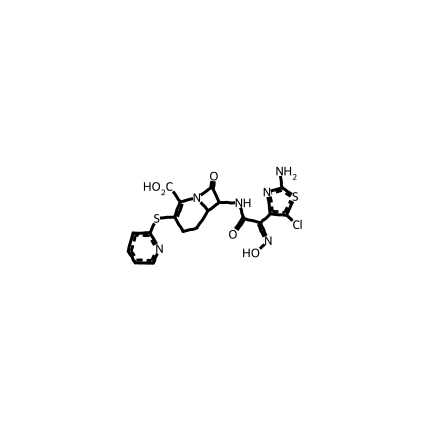 Nc1nc(/C(=N/O)C(=O)NC2C(=O)N3C(C(=O)O)=C(Sc4ccccn4)CCC23)c(Cl)s1